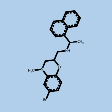 C[C@@H](NCC1CN(C)c2cc(Br)ccc2O1)c1cccc2ccccc12